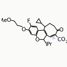 CCOC(=O)/C1=C/C2=C(c3cc(F)c(OCCCOC)cc3OC2C(C)C)C(C2CC2)CCC1=O